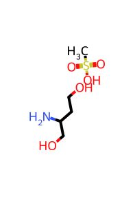 CS(=O)(=O)O.NC(CO)CCO